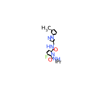 Cc1cccc(-n2cc(CNC(=O)c3ccc(F)c(C(=O)NC(C)C)n3)cn2)c1